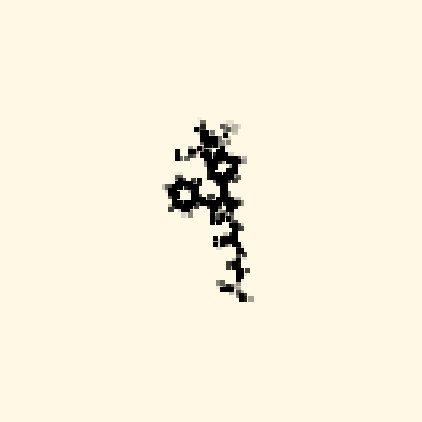 CCn1c(=O)n(CC)c2cc(-c3cn(CC(=O)NCCN(C)C)nc3-c3ccccc3)ccc21